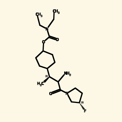 CCN(CC)C(=O)OC1CCC([C@H](C)C(N)C(=O)N2CC[C@H](F)C2)CC1